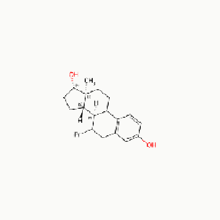 CC(C)C1Cc2cc(O)ccc2C2CC[C@]3(C)[C@@H](O)CC[C@H]3[C@@H]21